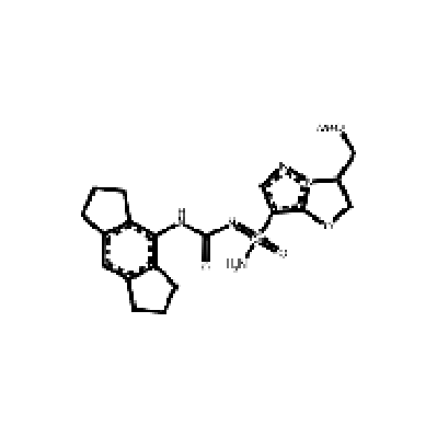 COCC1COc2c(S(N)(=O)=NC(=O)Nc3c4c(cc5c3CCC5)CCC4)cnn21